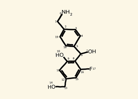 NCc1ccc(C(O)c2c(O)cc(CO)cc2F)cc1